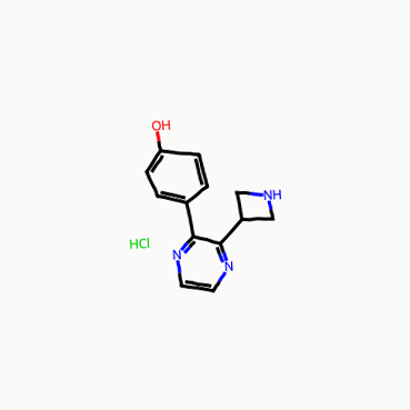 Cl.Oc1ccc(-c2nccnc2C2CNC2)cc1